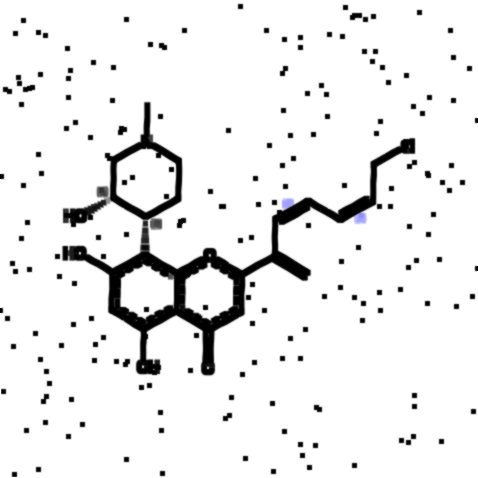 C=C(/C=C\C=C/CCl)c1cc(=O)c2c(O)cc(O)c([C@H]3CCN(C)C[C@H]3O)c2o1